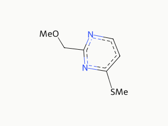 COCc1nccc(SC)n1